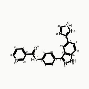 O=C(Nc1ccc(-c2n[nH]c3ccc(-c4nc[nH]n4)cc23)cc1)c1cccnc1